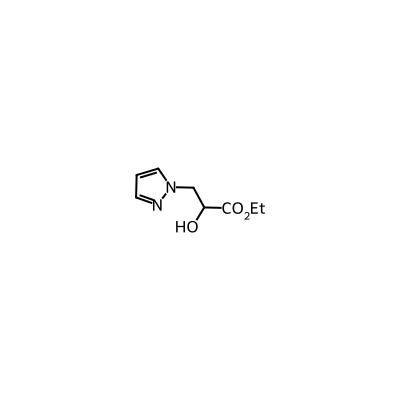 CCOC(=O)C(O)Cn1cccn1